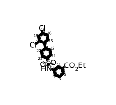 CCOC(=O)c1cccc(NS(=O)(=O)c2ccc(-c3ccc(Cl)cc3Cl)cc2)c1